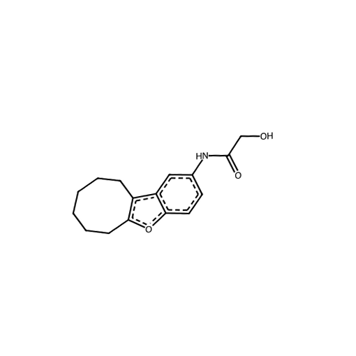 O=C(CO)Nc1ccc2oc3c(c2c1)CCCCCC3